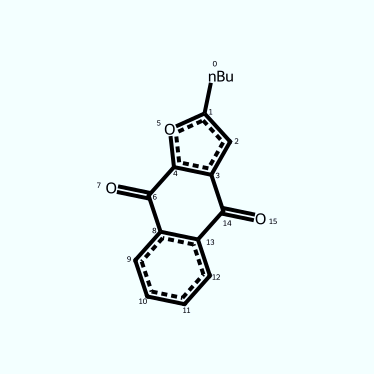 CCCCc1cc2c(o1)C(=O)c1ccccc1C2=O